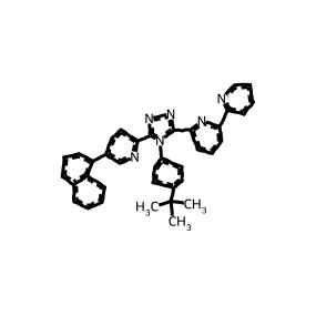 CC(C)(C)c1ccc(-n2c(-c3ccc(-c4cccc5ccccc45)cn3)nnc2-c2cccc(-c3ccccn3)n2)cc1